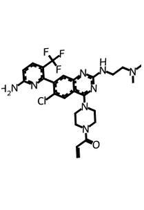 C=CC(=O)N1CCN(c2nc(NCCN(C)C)nc3cc(-c4nc(N)ccc4C(F)(F)F)c(Cl)cc23)CC1